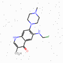 CN1CCN(c2cc3[nH]cc(C(=O)O)c(=O)c3cc2NCF)CC1